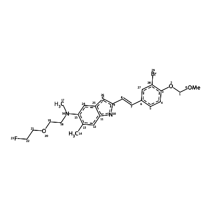 COCOc1ccc(/C=C/c2nc3cc(C)c(N(C)CCOCCF)cc3s2)cc1Br